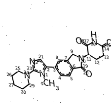 Cn1c(-c2ccc3c(c2)CN([C@@H]2CCC(=O)NC2=O)C3=O)cnc1N1CCCCC1